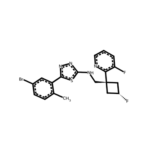 Cc1ccc(Br)cc1-c1nnc(NC[C@]2(c3ncccc3F)C[C@@H](F)C2)s1